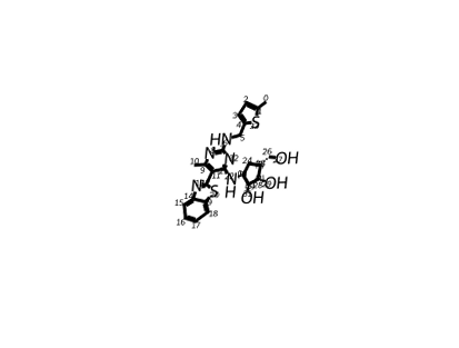 Cc1ccc(CNc2nc(C)c(-c3nc4ccccc4s3)c(N[C@@H]3C[C@H](CO)[C@@H](O)[C@H]3O)n2)s1